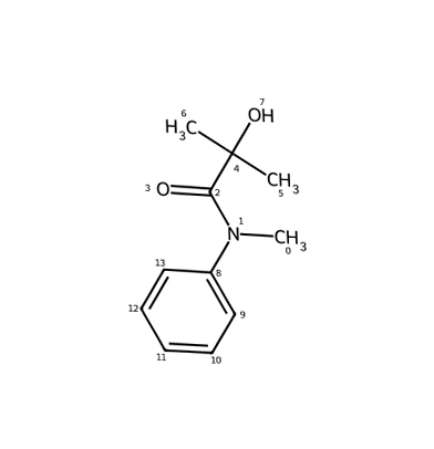 CN(C(=O)C(C)(C)O)c1ccccc1